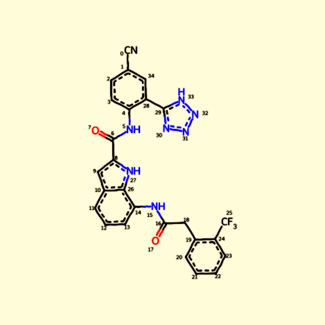 N#Cc1ccc(NC(=O)c2cc3cccc(NC(=O)Cc4ccccc4C(F)(F)F)c3[nH]2)c(-c2nnn[nH]2)c1